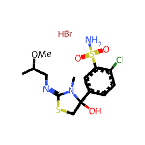 Br.COC(C)CN=C1SCC(O)(c2ccc(Cl)c(S(N)(=O)=O)c2)N1C